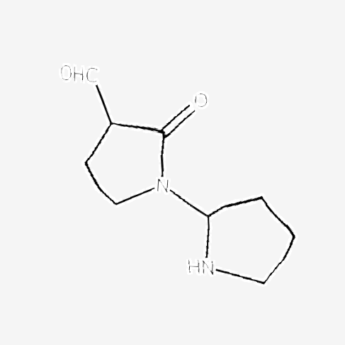 O=CC1CCN(C2CCCN2)C1=O